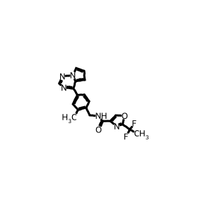 Cc1cc(-c2ncnn3cccc23)ccc1CNC(=O)c1coc(C(C)(F)F)n1